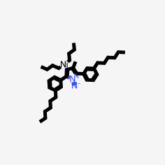 CCCCCCc1cccc(C2=CC(C)=C(c3cccc(CCCCCC)c3)[N+]2=[N-])c1.CCC[CH2][Ni][CH2]CCC